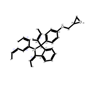 C\C=C/C=C(\C=C/C)N1/C(=C/C)c2ccccc2C1(/C(C)=C/C)c1ccc(OCC2CO2)cc1